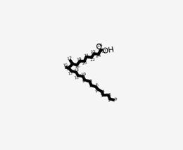 CCCCCCCCCCCCCCC(C)C(C)CCCCCCCC(=O)O